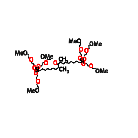 COCCOCCO[Si](CCCCCCCC(C)C(=O)C(C)CCCCCCC[Si](OCCOCCOC)(OCCOCCOC)OCCOCCOC)(OCCOCCOC)OCCOCCOC